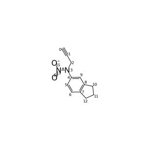 C#CCN(c1ccc2c(c1)CCC2)[N+](=O)[O-]